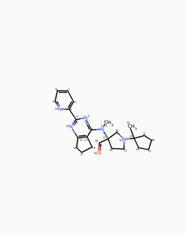 CN(c1nc(-c2ccccn2)nc2c1CCC2)[C@]1(C=O)CCN(C2(C)CCCC2)C1